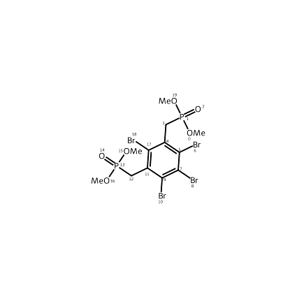 COP(=O)(Cc1c(Br)c(Br)c(Br)c(CP(=O)(OC)OC)c1Br)OC